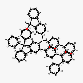 CC1(C)c2ccccc2-c2ccc(N(c3ccc(-c4ccccc4)cc3)c3cc4c(cc3-c3ccc(-c5ccccc5-c5ccccc5)cc3)-c3ccccc3C4(c3ccccc3)c3ccccc3)cc21